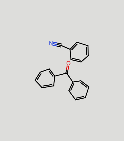 N#Cc1ccccc1.O=C(c1ccccc1)c1ccccc1